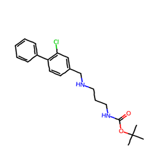 CC(C)(C)OC(=O)NCCCNCc1ccc(-c2ccccc2)c(Cl)c1